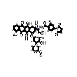 COc1cccc2c1C(=O)c1c(O)c3c(c(O)c1C2=O)C[C@@](O)(/C(CO)=N/NC(=O)c1ccc(N2C(=O)C=CC2=O)cc1F)C[C@@H]3O[C@H]1CC(N2CCO[C@@H](OC)C2)[C@H](O)[C@H](C)O1